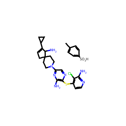 Cc1ccc(S(=O)(=O)O)cc1.Nc1nc(N2CCC3(CC=C(C4CC4)C3N)CC2)cnc1Sc1ccnc(N)c1Cl